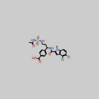 CC(=O)NS(=O)(=O)NCCC(NC(=O)c1cc2c(Cl)c(Cl)ccc2n1C)c1ccc(C(=O)O)cc1